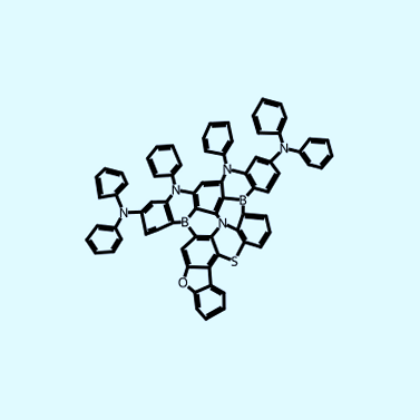 c1ccc(N(c2ccccc2)c2ccc3c(c2)N(c2ccccc2)c2cc4c5c6c2B3c2cccc3c2N6c2c(cc6oc7ccccc7c6c2S3)B5c2ccc(N(c3ccccc3)c3ccccc3)cc2N4c2ccccc2)cc1